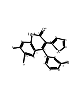 Cc1cc2[nH]c(=O)c(-c3cccs3)c(-c3cccc(Br)c3)c2cc1C